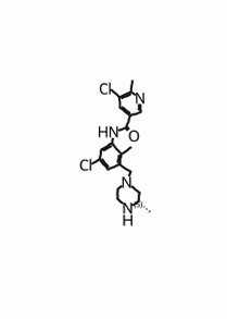 Cc1ncc(C(=O)Nc2cc(Cl)cc(CN3CCN[C@@H](C)C3)c2C)cc1Cl